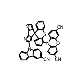 N#Cc1ccc2c(c1)Oc1cc(C#N)ccc1N2c1cccc2c1Sc1ccccc1C21c2cccnc2-c2ncc(-n3c4ccccc4c4cc(C#N)ccc43)cc21